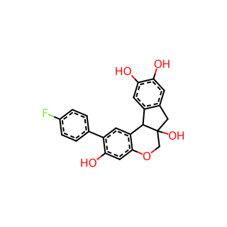 Oc1cc2c(cc1O)C1c3cc(-c4ccc(F)cc4)c(O)cc3OCC1(O)C2